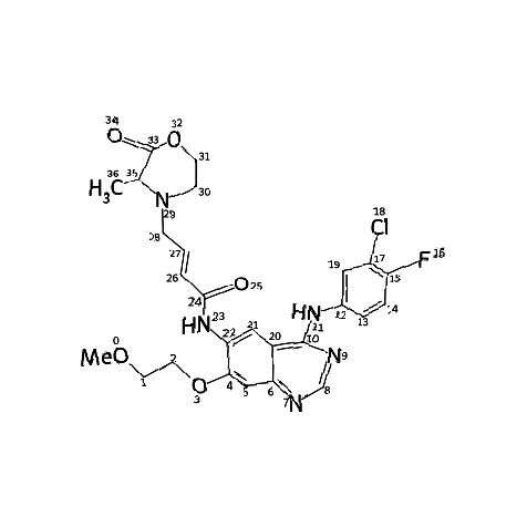 COCCOc1cc2ncnc(Nc3ccc(F)c(Cl)c3)c2cc1NC(=O)C=CCN1CCOC(=O)C1C